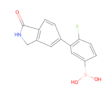 O=C1NCc2cc(-c3cc(B(O)O)ccc3F)ccc21